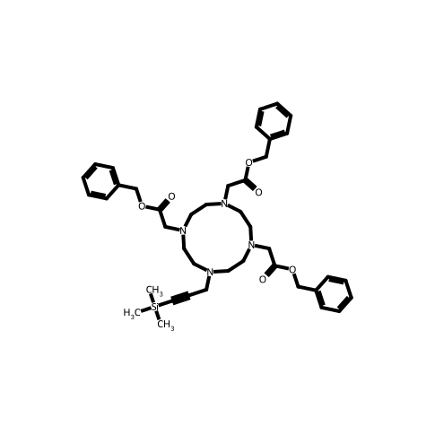 C[Si](C)(C)C#CCN1CCN(CC(=O)OCc2ccccc2)CCN(CC(=O)OCc2ccccc2)CCN(CC(=O)OCc2ccccc2)CC1